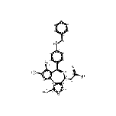 Cc1sc2c(c1C)C(c1ccc(NCc3ccccc3)cc1)=N[C@@H](CC(=O)O)c1nnc(C)n1-2